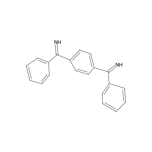 N=C(c1ccccc1)c1ccc(C(=N)c2ccccc2)cc1